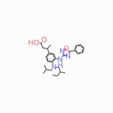 CCC(C)CN(CC(C)C)c1ccc(C(C)CC(=O)O)cc1Nc1noc(-c2ccccc2)n1